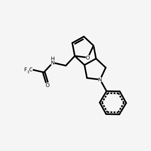 O=C(NCC12C=CC(O1)C1CN(c3ccccc3)CC12)C(F)(F)F